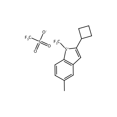 Cc1ccc2c(c1)cc(C1CCC1)[s+]2C(F)(F)F.O=S(=O)([O-])C(F)(F)F